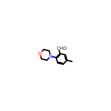 Cc1ccc(N2CCOCC2)c(C=O)c1